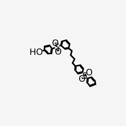 O=S(=O)(c1ccccc1)c1ccc(CCCCc2cccc(S(=O)(=O)c3ccc(O)cc3)c2)cc1